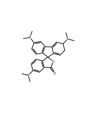 CN(C)c1ccc2c(c1)C(=O)OC21C2=CCC(N(C)C)C=C2c2cc(N(C)C)ccc21